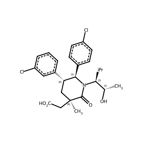 CC(C)[C@@H]([C@H](C)O)N1C(=O)[C@@](C)(CC(=O)O)C[C@H](c2cccc(Cl)c2)[C@H]1c1ccc(Cl)cc1